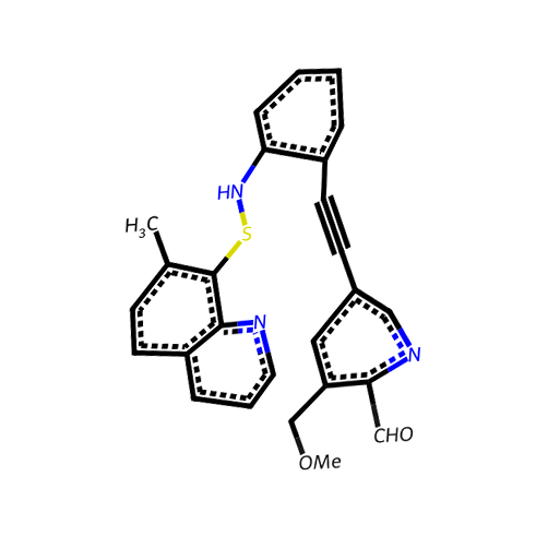 COCc1cc(C#Cc2ccccc2NSc2c(C)ccc3cccnc23)cnc1C=O